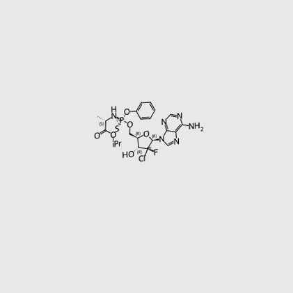 CC(C)OC(=O)[C@H](C)N[P@](=S)(OC[C@H]1O[C@@H](n2cnc3c(N)ncnc32)[C@](F)(Cl)[C@@H]1O)Oc1ccccc1